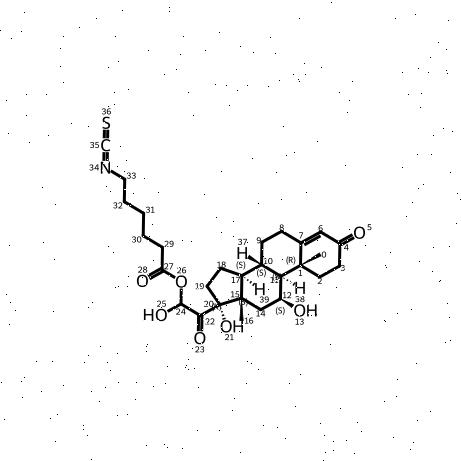 C[C@]12CCC(=O)C=C1CC[C@@H]1[C@@H]2[C@@H](O)C[C@@]2(C)[C@H]1CC[C@]2(O)C(=O)C(O)OC(=O)CCCCCN=C=S